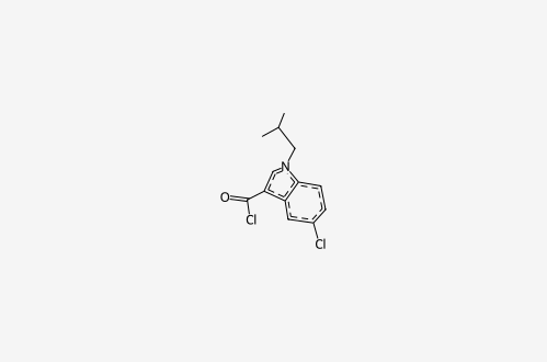 CC(C)Cn1cc(C(=O)Cl)c2cc(Cl)ccc21